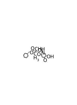 CC(C)(C(=O)OCc1ccccc1)C(=O)Oc1cc(=O)c(O)c[nH]1